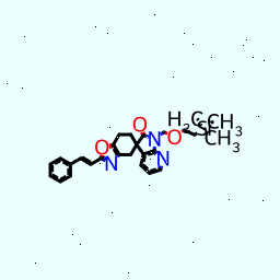 C[Si](C)(C)CCOCN1C(=O)C2(CCc3oc(C=Cc4ccccc4)nc3C2)c2cccnc21